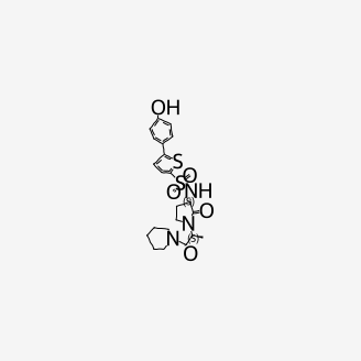 C[C@@H](C(=O)N1CCCCC1)N1CC[C@H](NS(=O)(=O)c2ccc(-c3ccc(O)cc3)s2)C1=O